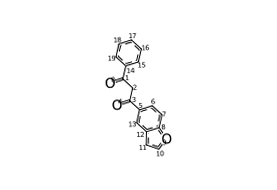 O=C(CC(=O)c1ccc2occc2c1)c1ccccc1